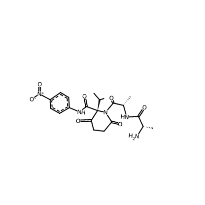 CC(C)[C@]1(C(=O)Nc2ccc([N+](=O)[O-])cc2)C(=O)CCC(=O)N1C(=O)[C@H](C)NC(=O)[C@H](C)N